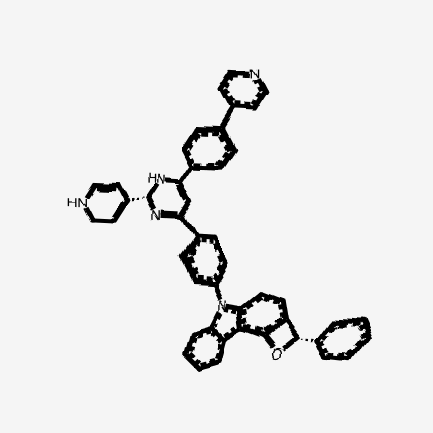 C1=CC([C@H]2N=C(c3ccc(-n4c5ccccc5c5c6c(ccc54)[C@H](c4ccccc4)O6)cc3)C=C(c3ccc(-c4ccncc4)cc3)N2)=CCN1